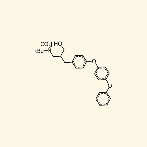 CC(C)(C)N(C[C@@H](CO)Cc1ccc(Oc2ccc(Oc3ccccc3)cc2)cc1)C(=O)O